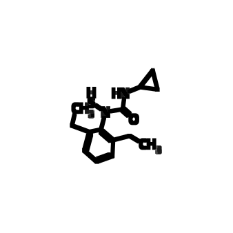 CCc1cccc(CC)c1N(S)C(=O)NC1CC1